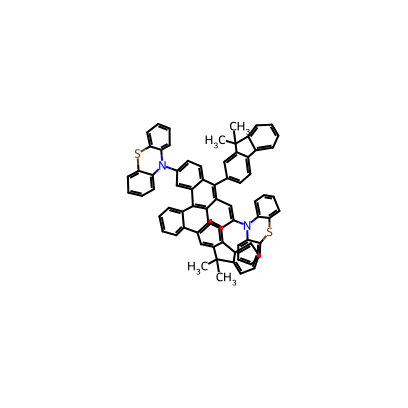 CC1(C)c2ccccc2-c2ccc(-c3ccccc3-c3c4ccc(N5c6ccccc6Sc6ccccc65)cc4c(-c4ccc5c(c4)C(C)(C)c4ccccc4-5)c4ccc(N5c6ccccc6Sc6ccccc65)cc34)cc21